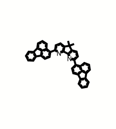 CC1(C)c2ccc(-c3ccc4c5c(cccc35)-c3ccccc3-4)nc2-c2nc(-c3ccc4c5c(cccc35)-c3ccccc3-4)ccc21